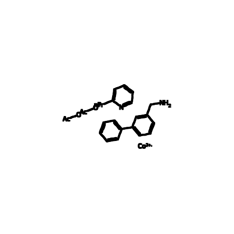 CC(=O)[O-].CC(=O)[O-].CCCc1ccccn1.NCc1cccc(-c2ccccc2)c1.[Co+2]